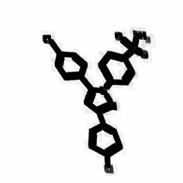 NS(=O)(=O)c1ccc(-n2nc(-c3ccc(Cl)cc3)cc2-c2ccc(Cl)cc2)cc1